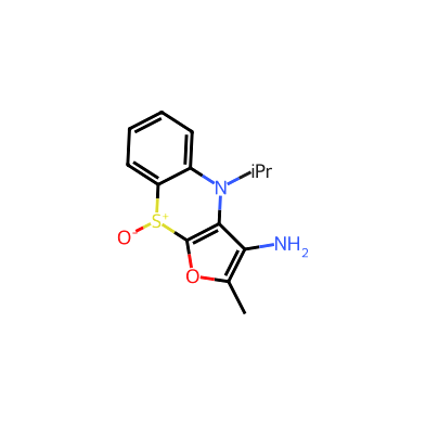 Cc1oc2c(c1N)N(C(C)C)c1ccccc1[S+]2[O-]